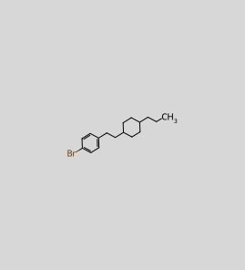 CCCC1CCC(CCc2ccc(Br)cc2)CC1